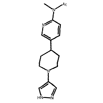 CC(=O)N(C)c1ccc(C2CCN(c3cn[nH]c3)CC2)cn1